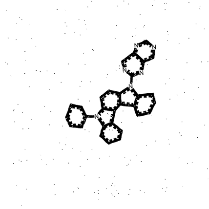 c1ccc(-n2c3ccccc3c3c4c5ccccc5n(-c5ncc6ncncc6n5)c4ccc32)cc1